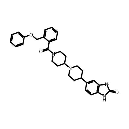 O=C1[N]c2cc(C3CCN(C4CCN(C(=O)c5ccccc5COc5ccccc5)CC4)CC3)ccc2N1